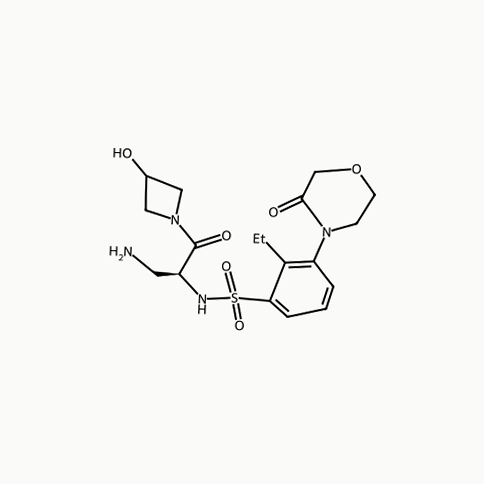 CCc1c(N2CCOCC2=O)cccc1S(=O)(=O)N[C@@H](CN)C(=O)N1CC(O)C1